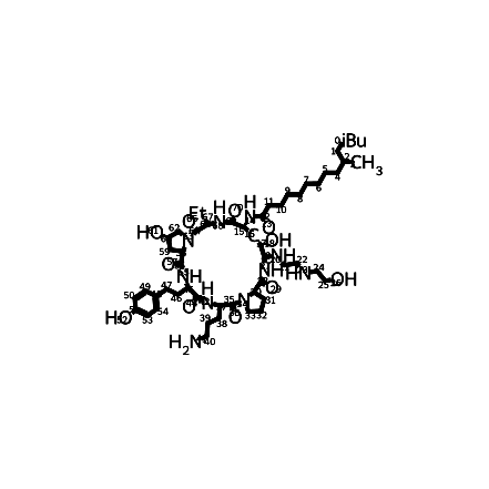 CCC(C)CC(C)CCCCCCCCC(=O)N[C@H]1C[C@@H](O)C(NCCNCCO)NC(=O)C2CCCN2C(=O)C(CCCN)NC(=O)C(CCc2ccc(O)cc2)NC(=O)C2C[C@@H](O)CN2C(=O)C(CC)NC1=O